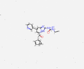 CCNC(=O)Nc1nc2cc(-c3cccnc3)cc(C(C)=O)n2n1.c1cc2cc-2c1